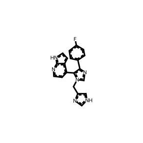 Fc1ccc(-c2ncn(Cc3c[nH]cn3)c2-c2ccnc3[nH]ccc23)cc1